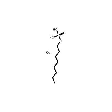 CCCCCCCCOP(=O)(O)O.[Co]